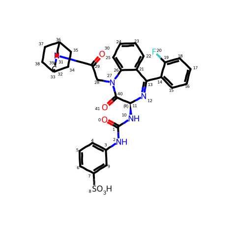 O=C(Nc1cccc(S(=O)(=O)O)c1)N[C@@H]1N=C(c2ccccc2F)c2ccccc2N(CC(=O)N2CC3CCC(CC3)C2)C1=O